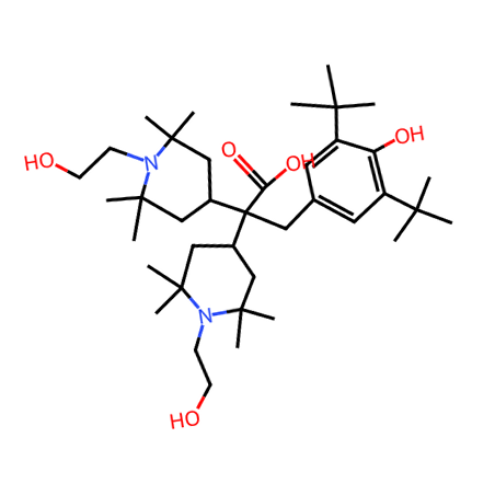 CC(C)(C)c1cc(CC(C(=O)O)(C2CC(C)(C)N(CCO)C(C)(C)C2)C2CC(C)(C)N(CCO)C(C)(C)C2)cc(C(C)(C)C)c1O